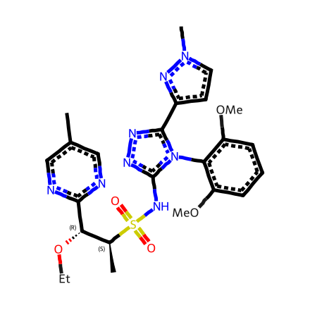 CCO[C@H](c1ncc(C)cn1)[C@H](C)S(=O)(=O)Nc1nnc(-c2ccn(C)n2)n1-c1c(OC)cccc1OC